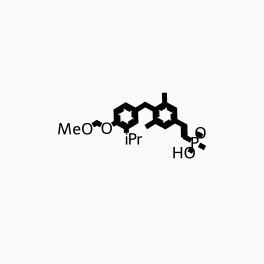 COCOc1ccc(Cc2c(C)cc(C=CP(C)(=O)O)cc2C)cc1C(C)C